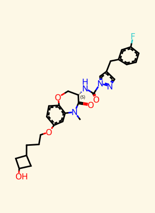 CN1C(=O)[C@@H](NC(=O)n2cc(Cc3cccc(F)c3)cn2)COc2ccc(OCCCC3CC(O)C3)cc21